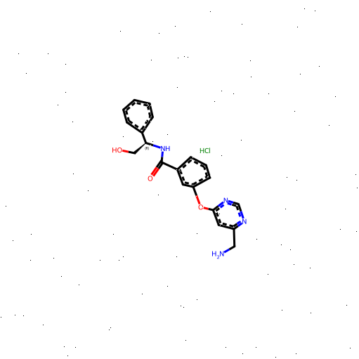 Cl.NCc1cc(Oc2cccc(C(=O)N[C@@H](CO)c3ccccc3)c2)ncn1